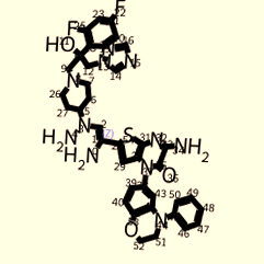 N/C(=C\N(N)C1CCN(CC(O)(Cn2cncn2)c2ccc(F)cc2F)CC1)c1cc2c(nc(N)c(=O)n2-c2ccc3c(c2)N(c2ccccc2)CCO3)s1